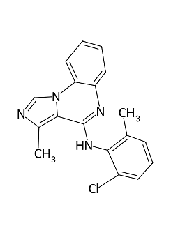 Cc1cccc(Cl)c1Nc1nc2ccccc2n2cnc(C)c12